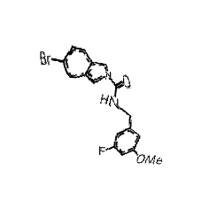 COc1cc(F)cc(CNC(=O)n2cc3ccc(Br)cc3c2)c1